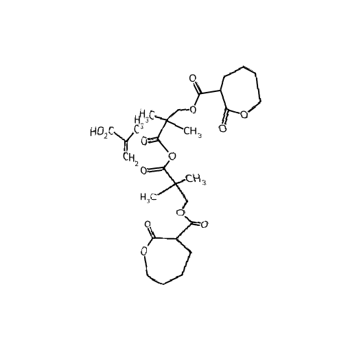 C=C(C)C(=O)O.CC(C)(COC(=O)C1CCCCOC1=O)C(=O)OC(=O)C(C)(C)COC(=O)C1CCCCOC1=O